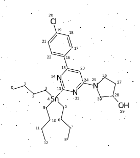 CCC[CH2][Sn]([CH2]CCC)([CH2]CCC)[c]1nc(-c2ccc(Cl)cc2)cc(N2CCC(O)C2)n1